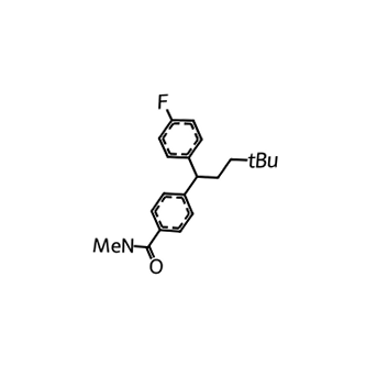 CNC(=O)c1ccc(C(CCC(C)(C)C)c2ccc(F)cc2)cc1